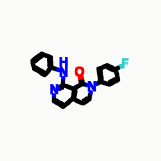 O=c1c2c(Nc3ccccc3)nccc2ccn1-c1ccc(F)cc1